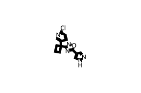 Clc1ccc(C2(c3noc(-c4cn[nH]c4)n3)CCC2)cn1